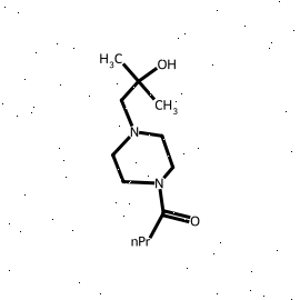 CCCC(=O)N1CCN(CC(C)(C)O)CC1